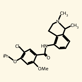 COc1cc(OC(C)C)c(Cl)cc1C(=O)Nc1cccc2c1CCN(C)C2C